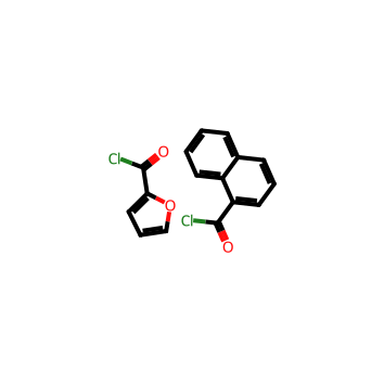 O=C(Cl)c1cccc2ccccc12.O=C(Cl)c1ccco1